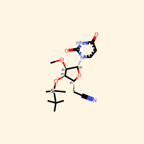 CO[C@@H]1[C@H](O[Si](C)(C)C(C)(C)C)[C@@H](CC#N)O[C@H]1n1ccc(=O)[nH]c1=O